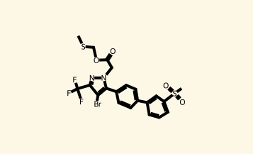 CSCOC(=O)Cn1nc(C(F)(F)F)c(Br)c1-c1ccc(-c2cccc(S(C)(=O)=O)c2)cc1